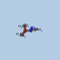 COc1ccc(Sc2nc(N)nc3c2ncn3CCOCP(=O)(OOCOC(=O)C(C)C)OOCOC(=O)C(C)C)cc1